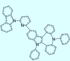 c1ccc(N2c3ccccc3-c3c(n(-c4ccccc4)c4ccc(-c5cccc(-n6c7ccccc7c7ccccc76)n5)cc34)-c3ccccc32)cc1